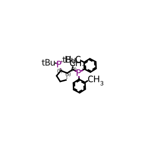 Cc1ccccc1P(c1ccccc1C)[C@H](C)[C@@H]1CCC[C@@H]1P(C(C)(C)C)C(C)(C)C